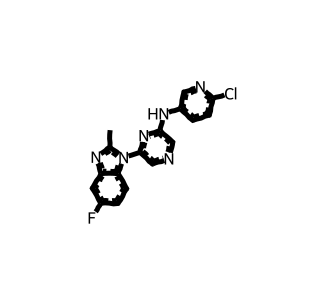 Cc1nc2cc(F)ccc2n1-c1cncc(Nc2ccc(Cl)nc2)n1